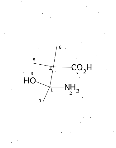 CC(N)(O)C(C)(C)C(=O)O